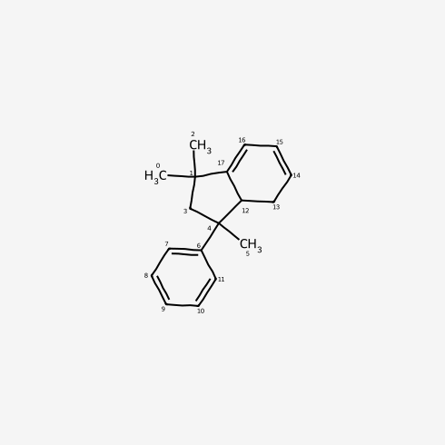 CC1(C)CC(C)(c2ccccc2)C2CC=CC=C21